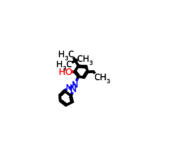 CCc1cc(-n2n3c4ccccc4n23)c(O)c(C(C)(C)C)c1